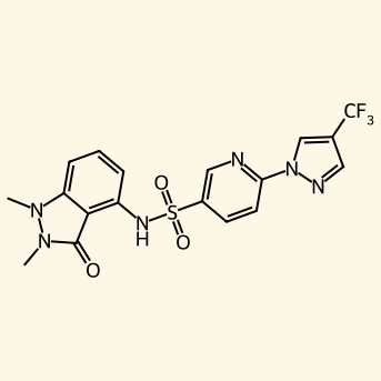 Cn1c(=O)c2c(NS(=O)(=O)c3ccc(-n4cc(C(F)(F)F)cn4)nc3)cccc2n1C